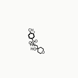 Cc1ccc(S(=O)(=O)NCC2(O)CCOCC2)cc1